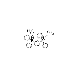 CCCC[PH](c1ccccc1)(c1ccccc1)c1cccc([PH](CCCC)(c2ccccc2)c2ccccc2)c1